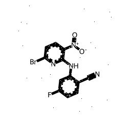 N#Cc1ccc(F)cc1Nc1nc(Br)ccc1[N+](=O)[O-]